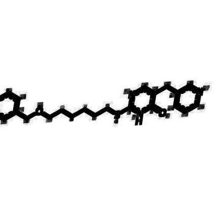 O=c1[nH]c(SCCCCCCOCc2ccccc2)ncc1Cc1cccnc1